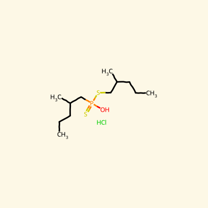 CCCC(C)CSP(O)(=S)CC(C)CCC.Cl